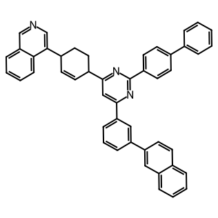 C1=CC(c2cncc3ccccc23)CCC1c1cc(-c2cccc(-c3ccc4ccccc4c3)c2)nc(-c2ccc(-c3ccccc3)cc2)n1